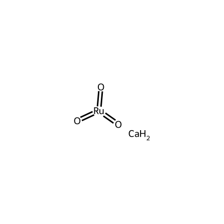 [CaH2].[O]=[Ru](=[O])=[O]